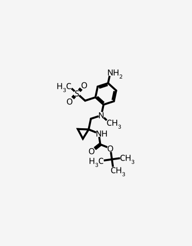 CN(CC1(NC(=O)OC(C)(C)C)CC1)c1ccc(N)cc1CS(C)(=O)=O